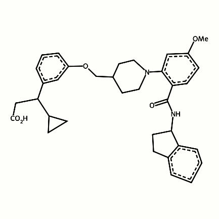 COc1ccc(C(=O)NC2CCc3ccccc32)c(N2CCC(COc3cccc(C(CC(=O)O)C4CC4)c3)CC2)c1